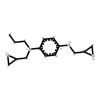 CCCN(CC1CO1)c1ccc(OCC2CO2)cc1